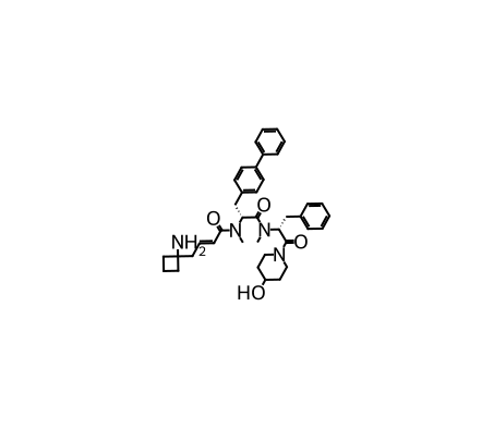 CN(C(=O)C=CCC1(N)CCC1)[C@H](Cc1ccc(-c2ccccc2)cc1)C(=O)N(C)[C@H](Cc1ccccc1)C(=O)N1CCC(O)CC1